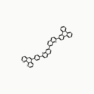 c1cnc2c(c1)cc(-c1ccc(-c3ccc4ccc(-c5ccc6ccc(-c7ccc8c9ccccc9c9ccccc9c8c7)nc6c5)cc4n3)cc1)c1cccnc12